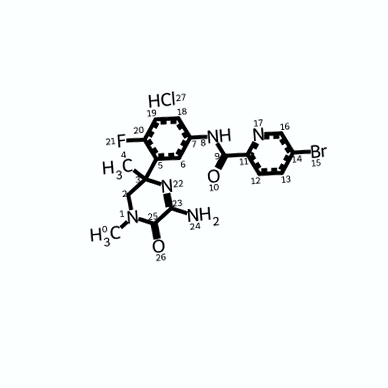 CN1CC(C)(c2cc(NC(=O)c3ccc(Br)cn3)ccc2F)N=C(N)C1=O.Cl